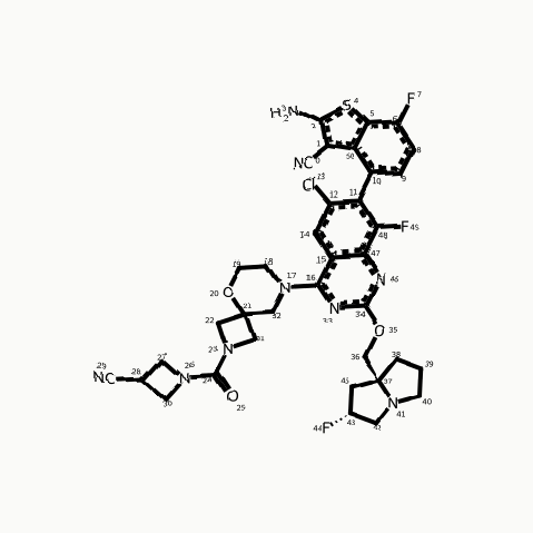 N#Cc1c(N)sc2c(F)ccc(-c3c(Cl)cc4c(N5CCOC6(CN(C(=O)N7CC(C#N)C7)C6)C5)nc(OC[C@@]56CCCN5C[C@H](F)C6)nc4c3F)c12